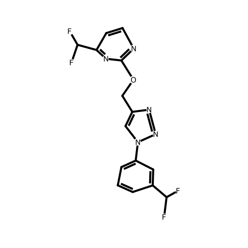 FC(F)c1cccc(-n2cc(COc3nccc(C(F)F)n3)nn2)c1